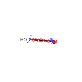 O=C(O)NCCOCCOCCOCCOCCOCCOCCOCCn1cc(CN2C(=O)C=CC2=O)nn1